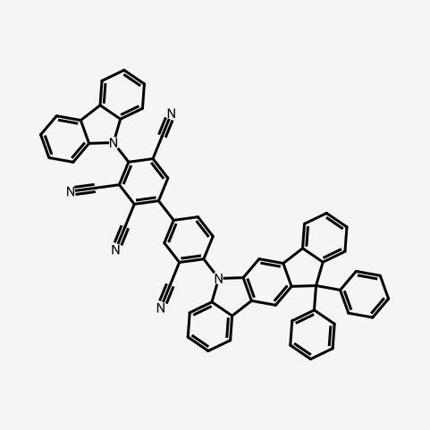 N#Cc1cc(-c2cc(C#N)c(-n3c4ccccc4c4ccccc43)c(C#N)c2C#N)ccc1-n1c2ccccc2c2cc3c(cc21)-c1ccccc1C3(c1ccccc1)c1ccccc1